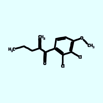 C=C(CCC)C(=O)c1ccc(OC)c(Cl)c1Cl